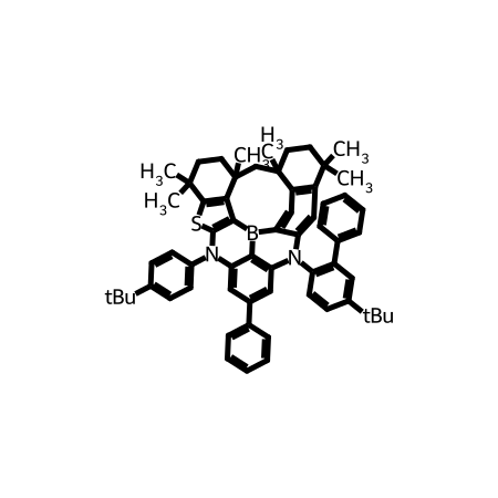 CC(C)(C)c1ccc(N2c3cc(-c4ccccc4)cc4c3B3c5cc6c(cc5N4c4ccc(C(C)(C)C)cc4-c4ccccc4)C(C)(C)CCC6(C)CC4(C)CCC(C)(C)c5sc2c3c54)cc1